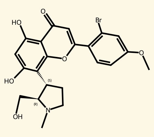 COc1ccc(-c2cc(=O)c3c(O)cc(O)c([C@@H]4CCN(C)[C@H]4CO)c3o2)c(Br)c1